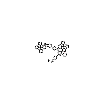 CC1C=CC(c2nc(-c3ccccc3)nc(-n3c4ccc(-c5ccc6[nH]c7c8c(ccc7c6c5)C5(c6ccccc6-c6ccccc65)c5ccccc5-8)cc4c4ccc5c(c43)-c3ccccc3C53c4ccccc4-c4ccccc43)n2)=CC1